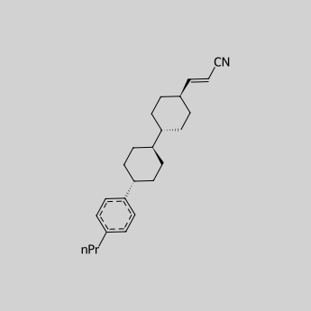 CCCc1ccc([C@H]2CC[C@H]([C@H]3CC[C@H](C=CC#N)CC3)CC2)cc1